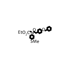 CCOC(=O)CN(C(=O)Cc1ccc(OCc2ccccc2)cc1)c1ccc(SC)cc1